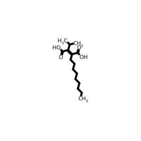 CCCCCCCCC/C(C(=O)O)=C(\C(=O)O)C(C)C